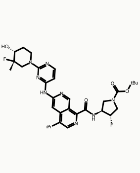 CC(C)c1cnc(C(=O)N[C@H]2CN(C(=O)OC(C)(C)C)C[C@@H]2F)c2cnc(Nc3ccnc(N4CC[C@@H](O)[C@@](C)(F)C4)n3)cc12